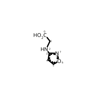 O=C(O)CNc1ccon1